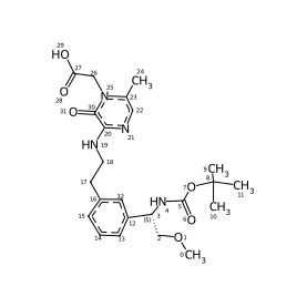 COC[C@@H](NC(=O)OC(C)(C)C)c1cccc(CCNc2ncc(C)n(CC(=O)O)c2=O)c1